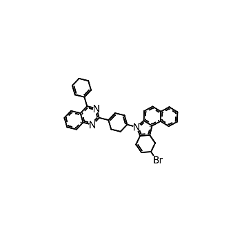 BrC1C=Cc2c(c3c4ccccc4ccc3n2C2=CC=C(c3nc(C4=CCCC=C4)c4ccccc4n3)CC2)C1